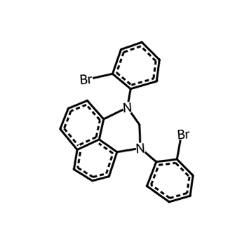 Brc1ccccc1N1CN(c2ccccc2Br)c2cccc3cccc1c23